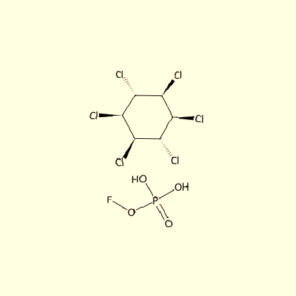 Cl[C@H]1[C@H](Cl)[C@@H](Cl)[C@@H](Cl)[C@H](Cl)[C@H]1Cl.O=P(O)(O)OF